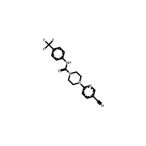 N#Cc1ccc(N2CCN(C(=O)Nc3ccc(C(F)(F)F)cc3)CC2)nc1